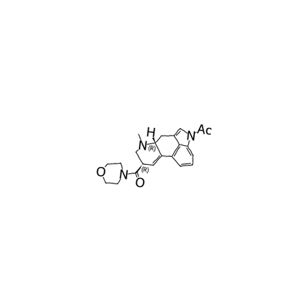 CC(=O)n1cc2c3c(cccc31)C1=C[C@@H](C(=O)N3CCOCC3)CN(C)[C@@H]1C2